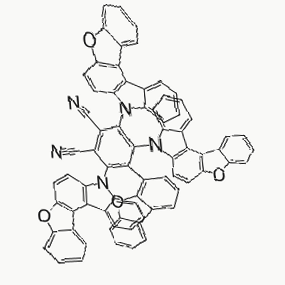 N#Cc1c(C#N)c(-n2c3ccccc3c3c4c(ccc32)oc2ccccc24)c(-n2c3ccccc3c3c4c(ccc32)oc2ccccc24)c(-c2cccc3c2oc2ccccc23)c1-n1c2ccccc2c2c3c(ccc21)oc1ccccc13